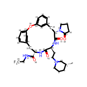 C[C@@H]1CCCN(CC[C@@H]2NC(=O)[C@@H](N3CCCC3=O)Cc3cccc(c3)Oc3cccc(c3)C[C@@H](C(=O)NCC(F)(F)F)NC2=O)C1